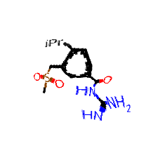 CC(C)c1ccc(C(=O)NC(=N)N)cc1CS(C)(=O)=O